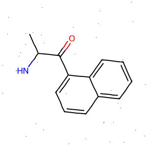 CC([NH])C(=O)c1cccc2ccccc12